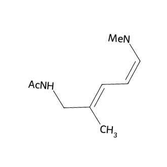 CN/C=C\C=C(/C)CNC(C)=O